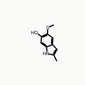 COc1cc2cc(C)[nH]c2cc1O